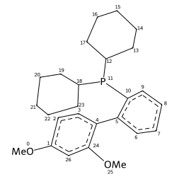 COc1ccc(-c2ccccc2P(C2CCCCC2)C2CCCCC2)c(OC)c1